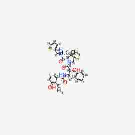 Cc1c(O)cccc1C(=O)N[C@@H](Cc1ccccc1)[C@H](O)C(=O)N1CC(F)(F)C(C)(C)[C@H]1C(=O)NCc1cccs1